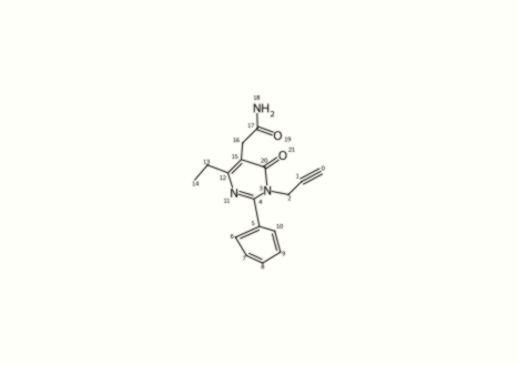 C#CCn1c(-c2ccccc2)nc(CC)c(CC(N)=O)c1=O